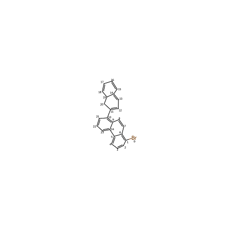 Brc1cccc2c1ccc1c(C3=CC=C4C=CC=CC4C3)cccc12